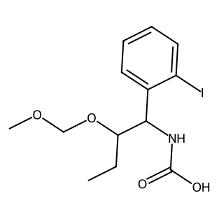 CCC(OCOC)C(NC(=O)O)c1ccccc1I